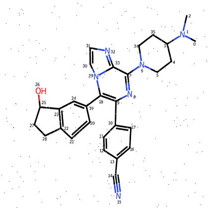 CN(C)C1CCN(c2nc(-c3ccc(C#N)cc3)c(-c3ccc4c(c3)C(O)CC4)n3ccnc23)CC1